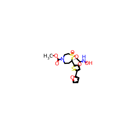 COC(=O)N1CC[C@](CC(=O)NO)(c2ccc(-c3ccco3)s2)S(=O)(=O)CC1